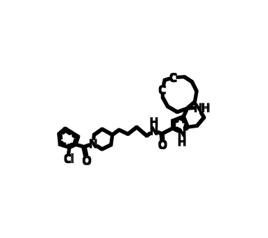 O=C(NCCCCC1CCN(C(=O)c2ccccc2Cl)CC1)c1cc2c([nH]1)CCNC21CCCCCCCCCC1